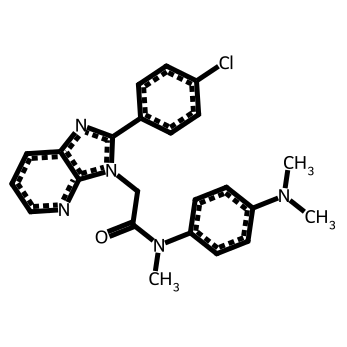 CN(C)c1ccc(N(C)C(=O)Cn2c(-c3ccc(Cl)cc3)nc3cccnc32)cc1